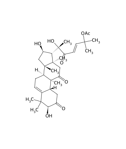 CC(=O)OC(C)(C)/C=C/C(=O)[C@@](C)(O)[C@H]1[C@H](O)C[C@@]2(C)[C@@H]3CC=C4[C@@H](CC(=O)[C@@H](O)C4(C)C)[C@]3(C)C(=O)C[C@]12C